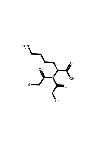 NCCCC[C@@H](C(=O)O)N(C(=O)CBr)C(=O)CBr